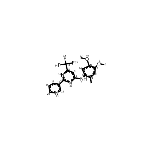 COc1cc(C)c(Nc2cc(C(F)(F)F)nc(-c3cccnc3)n2)cc1OC